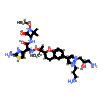 CC1(C)C(NC(=O)/C(=N\O[C@](C)(C(=O)O)C2CCc3cc(-c4cn(C[C@@H](O)CN)[n+](CCCN)c4)ccc3O2)c2csc(N)n2)C(=O)N1OS(=O)(=O)O